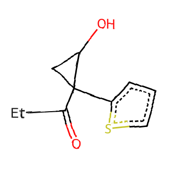 CCC(=O)C1(c2cccs2)CC1O